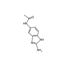 CC(=O)Nc1ccc2[nH]c(N)nc2c1